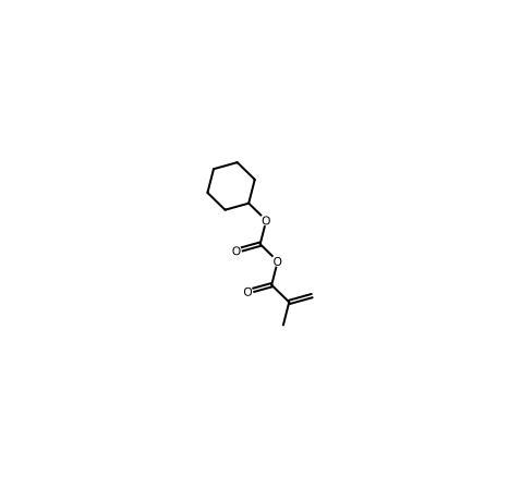 C=C(C)C(=O)OC(=O)OC1CCCCC1